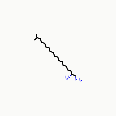 CC(C)CCCCCCCCCCCCCCCC(N)CN